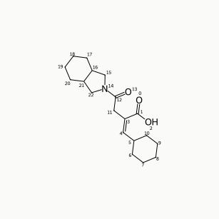 O=C(O)C(=CC1CCCCC1)CC(=O)N1CC2CCCCC2C1